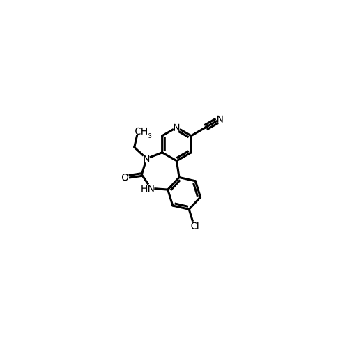 CCN1C(=O)Nc2cc(Cl)ccc2-c2cc(C#N)ncc21